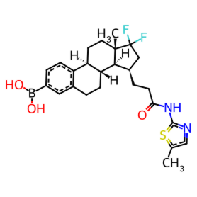 Cc1cnc(NC(=O)CC[C@@H]2CC(F)(F)[C@@]3(C)CC[C@@H]4c5ccc(B(O)O)cc5CC[C@H]4[C@H]23)s1